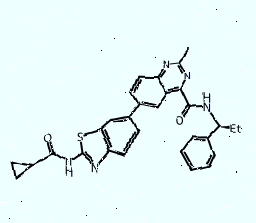 CC[C@H](NC(=O)c1nc(C)nc2ccc(-c3ccc4nc(NC(=O)C5CC5)sc4c3)cc12)c1ccccc1